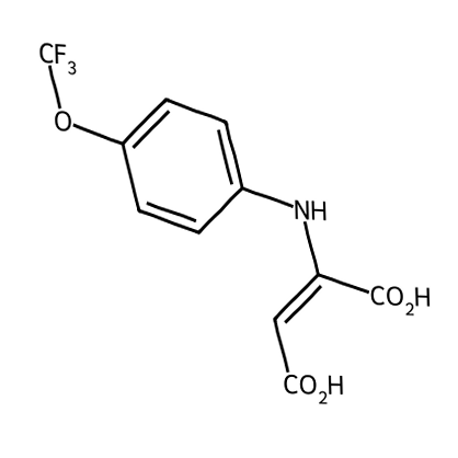 O=C(O)C=C(Nc1ccc(OC(F)(F)F)cc1)C(=O)O